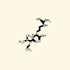 CCC[C@@H](C(=O)N[C@H](CCCNC(=N)N)C(=O)O)N(C)C